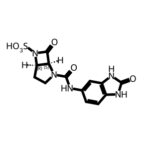 O=C(Nc1ccc2[nH]c(=O)[nH]c2c1)N1CC[C@@H]2[C@H]1C(=O)N2S(=O)(=O)O